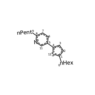 CCCCCCc1ccc(-c2ccc(CCCCC)nc2)s1